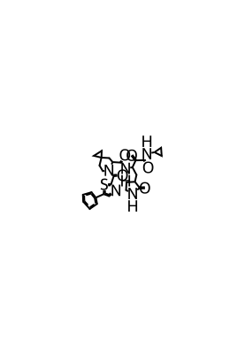 O=C(NC1CC1)C(=O)C(CC1CCNC1=O)NC(=O)C1CC2(CCN1C(=O)c1ncc(-c3ccccc3)s1)CC2